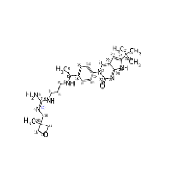 C[C@H](NCCCN/C(N)=N\CC1(C)COC1)c1ccc(-n2cc3cc(C(C)(C)C)[nH]c3nc2=O)cc1